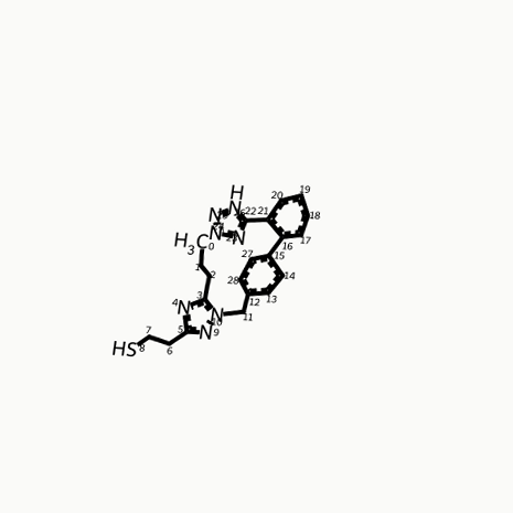 CCCc1nc(CCS)nn1Cc1ccc(-c2ccccc2-c2nnn[nH]2)cc1